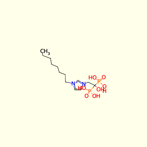 CCCCCCCC[n+]1ccn(CC(O)(P(=O)(O)O)P(=O)(O)O)c1